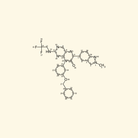 Cn1cc2cc(-c3nc4cnc(NCC(F)(F)F)nc4n(-c4cccc(OCc5ccccc5)c4)c3=O)ccc2n1